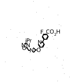 CC(C)c1noc(CN2CC(Oc3ccc(-c4ccc(C(=O)O)c(F)c4)nc3)C2)n1